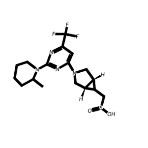 CC1CCCCN1c1nc(N2C[C@@H]3C(CS(=O)O)[C@@H]3C2)cc(C(F)(F)F)n1